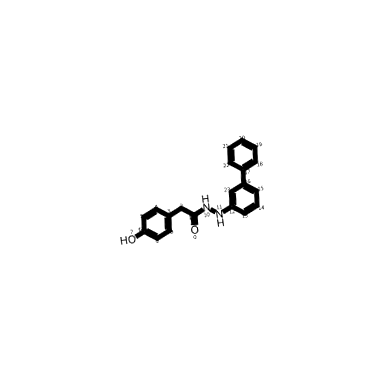 O=C(Cc1ccc(O)cc1)NNc1cccc(-c2ccccc2)c1